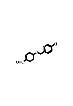 O=CC1CCC(OCc2ccc(Cl)cn2)CC1